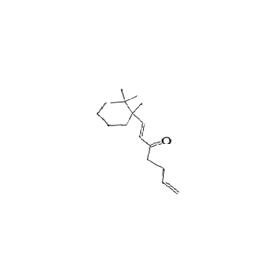 C=CCCC(=O)C=CC1(C)CCCCC1(C)C